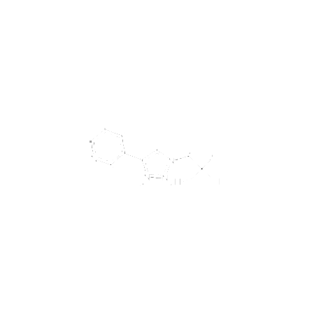 CC(C)(C)Cn1cc(-c2cccnc2)nn1